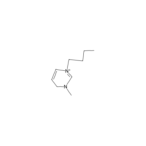 CCCC[N+]1=CN(C)CC=C1